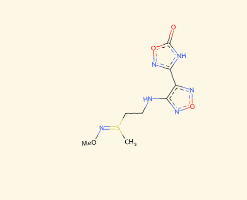 CO/N=S(\C)CCNc1nonc1-c1noc(=O)[nH]1